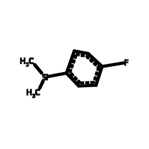 C[Si](C)c1ccc(F)cc1